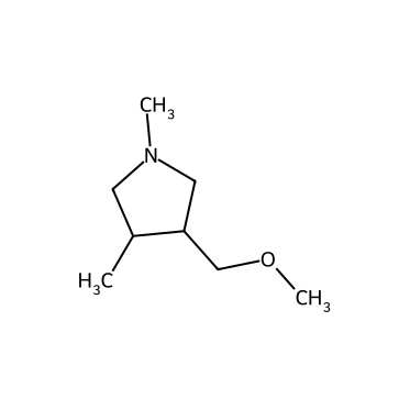 COCC1CN(C)CC1C